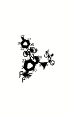 CON(C)C(=O)[C@@H]1C[C@H]1c1cn(S(=O)(=O)c2ccc(C)cc2)c2ccc(C(F)(F)F)cc12